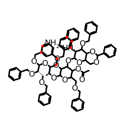 CC(=O)OC1C(COCc2ccccc2)OC(O[C@@H](C)C(COCc2ccccc2)OC(OCCCN)[C@H](COCc2ccccc2)OCc2ccccc2)C(OCc2ccccc2)C1OC1OC2COC(c3ccccc3)OC2C(OCc2ccccc2)C1Nc1ccccc1